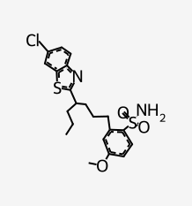 CCCC(CCCc1cc(OC)ccc1S(N)(=O)=O)c1nc2ccc(Cl)cc2s1